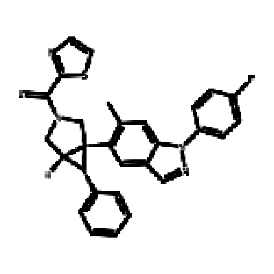 Cc1cc2c(cnn2-c2ccc(F)cc2)cc1[C@]12CN(C(=O)c3nccs3)C[C@H]1[C@@H]2c1ccccc1